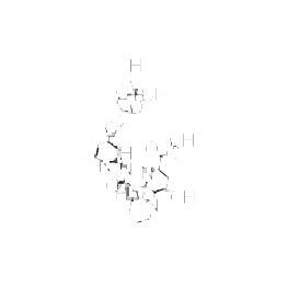 COC(=O)c1cc(C)c2c(n1)N(C(=O)Nc1cc(OC[C@H]3COC(C)(C)O3)ccn1)[C@H]1CCCN2C1